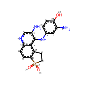 Nc1cc(Nc2c(N)cnc3ccc4c(c23)CCS4(=O)=O)ccc1O